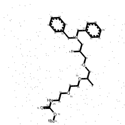 CC(COCC(F)CN(Cc1ccccc1)Cc1ccccc1)OCCOCCNC(=O)OC(C)(C)C